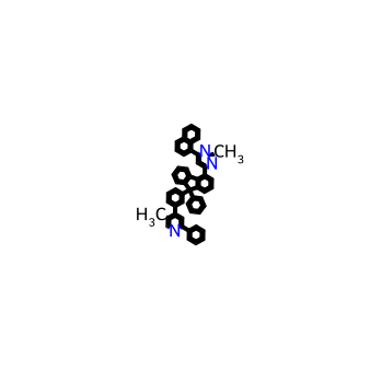 Cc1nc(-c2cccc3c2-c2ccccc2C3(c2ccccc2)c2cccc(-c3cc(-c4ccccc4)ncc3C)c2)cc(-c2cccc3ccccc23)n1